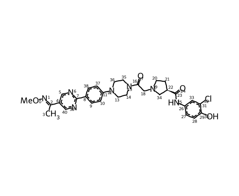 CO/N=C(\C)c1cnc(-c2ccc(N3CCN(C(=O)CN4CC[C@@H](C(=O)Nc5ccc(O)c(Cl)c5)C4)CC3)cc2)nc1